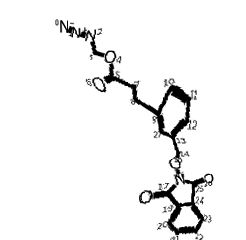 [N-]=[N+]=NCOC(=O)CCc1cccc(CON2C(=O)c3ccccc3C2=O)c1